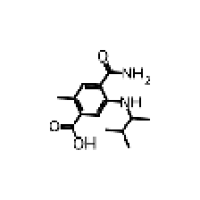 Cc1cc(C(N)=O)c(NC(C)C(C)C)cc1C(=O)O